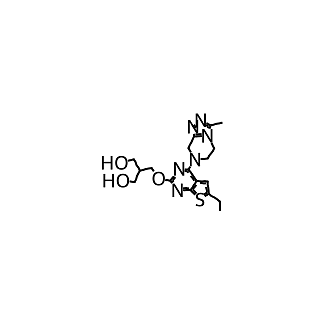 CCc1cc2c(N3CCn4c(C)nnc4C3)nc(OCC(CO)CO)nc2s1